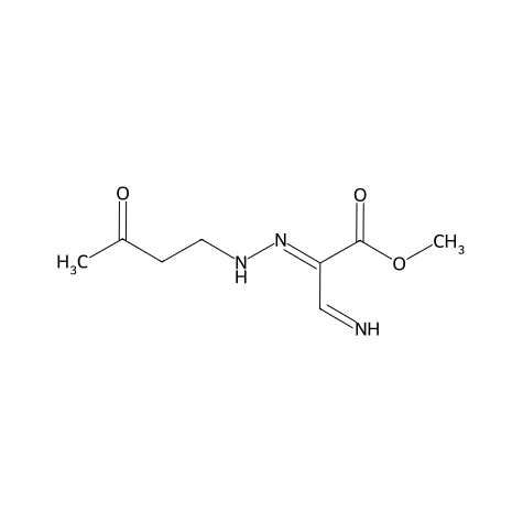 COC(=O)/C(C=N)=N/NCCC(C)=O